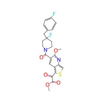 COC(=O)C(=O)c1scc2nc(OC)c(C(=O)N3CCC(F)(Cc4ccc(F)cc4)CC3)cc12